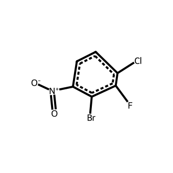 O=[N+]([O-])c1ccc(Cl)c(F)c1Br